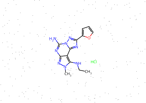 CCNc1c2c(nc(N)n3nc(-c4ccco4)nc23)nn1C.Cl